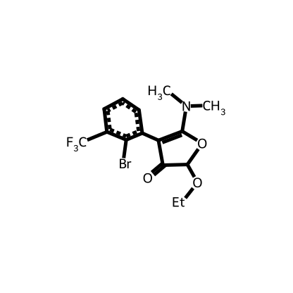 CCOC1OC(N(C)C)=C(c2cccc(C(F)(F)F)c2Br)C1=O